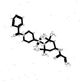 C=CC(=O)NC1CC(C)(C)N(S(=O)(=O)C2CCN(C(=O)c3ccccc3)CC2)C(C)(C)C1